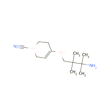 CC(C)(N)C(C)(C)CBC1=CCB(C#N)CC1